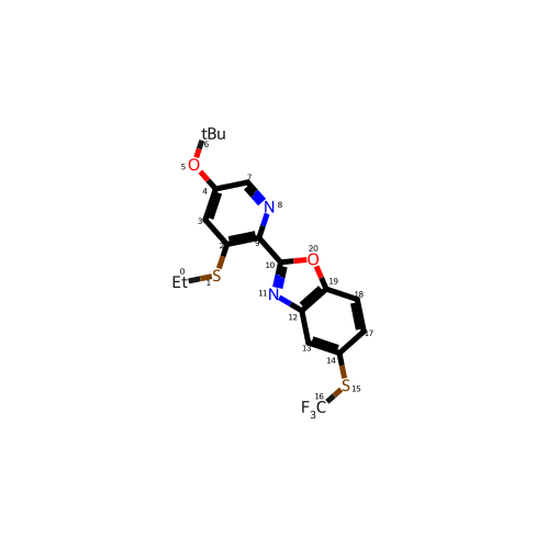 CCSc1cc(OC(C)(C)C)cnc1-c1nc2cc(SC(F)(F)F)ccc2o1